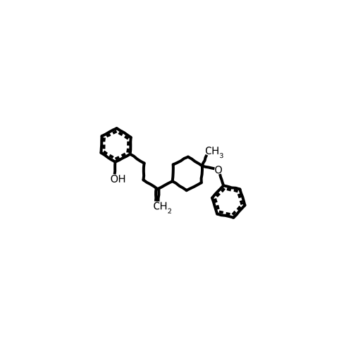 C=C(CCc1ccccc1O)C1CCC(C)(Oc2ccccc2)CC1